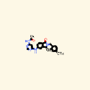 COc1ccc(CN2C(=O)c3ccc(Nc4cc(NC(=O)C(C)(C)C)ncn4)cc3C2C)cc1